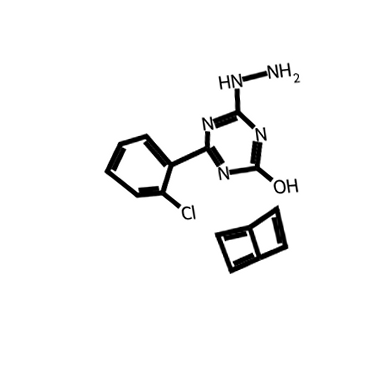 NNc1nc(O)nc(-c2ccccc2Cl)n1.c1cc2ccc1-2